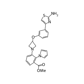 COC(=O)c1cccc(N2CC(Oc3cccc(-c4csc(N)n4)c3)C2)c1-n1cccc1